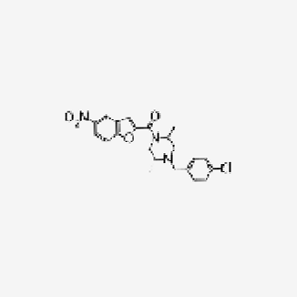 C[C@@H]1CN(C(=O)c2cc3cc([N+](=O)[O-])ccc3o2)[C@@H](C)CN1Cc1ccc(Cl)cc1